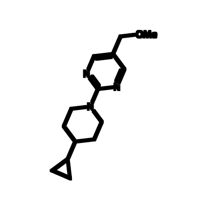 COCc1cnc(N2CCC(C3CC3)CC2)nc1